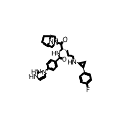 O=C(N[C@@H](CCCN[C@@H]1C[C@H]1c1ccc(F)cc1)C(=O)N1CC2CCC(C1)N2)c1ccc(N2C=CNN2)cc1